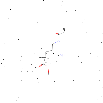 C=CC(=O)NCCCC(C)(C)C(=O)OC.N